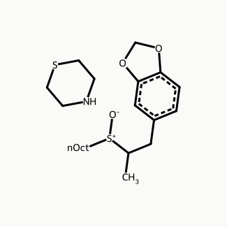 C1CSCCN1.CCCCCCCC[S+]([O-])C(C)Cc1ccc2c(c1)OCO2